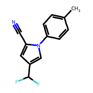 Cc1ccc(-n2cc(C(F)F)cc2C#N)cc1